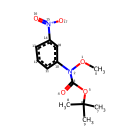 CON(C(=O)OC(C)(C)C)c1cccc([N+](=O)[O-])c1